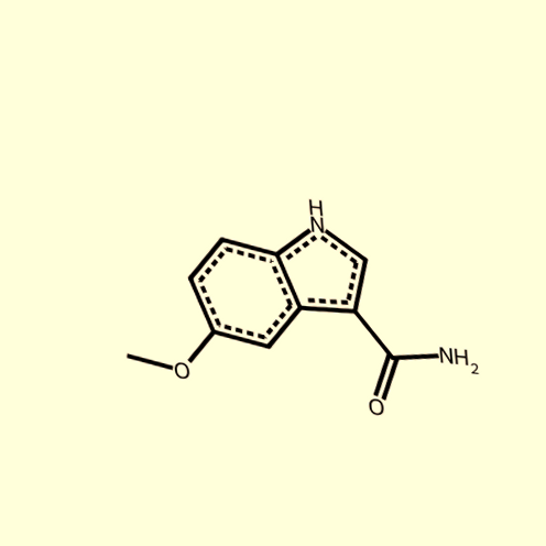 COc1ccc2[nH]cc(C(N)=O)c2c1